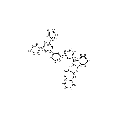 C1=Cc2cc3c(cc2Oc2ccccc21)c1ccccc1n3-c1cccc(-c2cccc(-c3nc(-c4ccccc4)nc(-c4ccccc4)n3)c2)c1